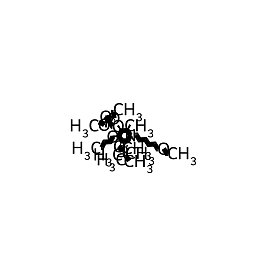 CCCCO[C@H]1[C@@H](OCP(=O)(OCC)OCC)[C@@H](C)N(CCCCCCOCC)C[C@@H]1O[Si](C)(C)C(C)(C)C